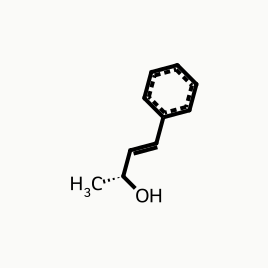 C[C@@H](O)C=Cc1ccccc1